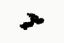 CCCc1ccc2c(c1)C(N(C)CCOc1ccc(CC(OC)C(=O)OCC)cc1)c1ccc(C(C)c3ccccc3)cc1CC2